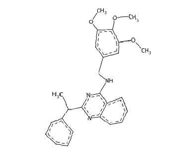 COc1cc(CNc2nc(C(C)c3ccccc3)nc3ccccc23)cc(OC)c1OC